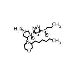 CCCCCCC1COCCN1C1CN(C)C[N+]1([O-])c1nnc([S+]([O-])CCC)s1